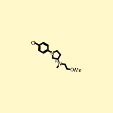 COCCN(C)[C@@H]1CCN(c2ccc(Cl)cc2)C1